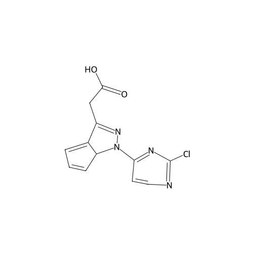 O=C(O)CC1=NN(c2ccnc(Cl)n2)C2C=CC=C12